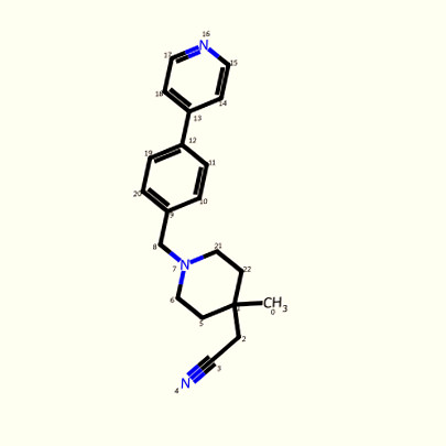 CC1(CC#N)CCN(Cc2ccc(-c3ccncc3)cc2)CC1